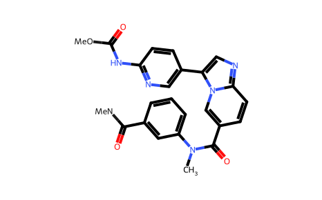 CNC(=O)c1cccc(N(C)C(=O)c2ccc3ncc(-c4ccc(NC(=O)OC)nc4)n3c2)c1